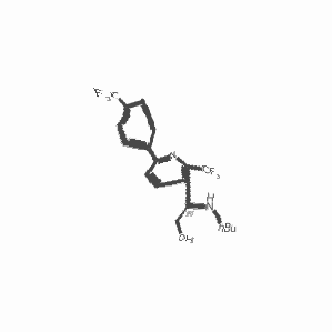 CCCCN[C@@H](CO)c1ccc(-c2ccc(C(F)(F)F)cc2)nc1C(F)(F)F